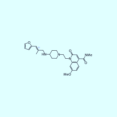 CNC(=O)c1cc(=O)n(CCN2CCC(NC/C(C)=C/c3ccco3)CC2)c2cc(OC)ccc12